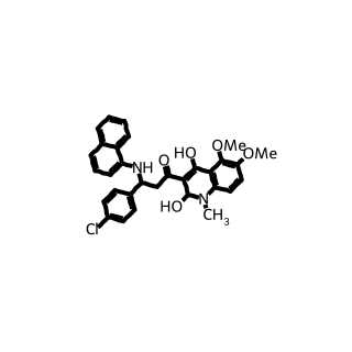 COc1ccc2c(c1OC)C(O)=C(C(=O)CC(Nc1cccc3ccccc13)c1ccc(Cl)cc1)C(O)N2C